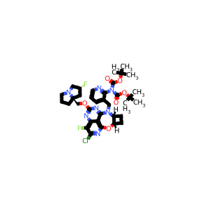 CC(C)(C)OC(=O)N(C(=O)OC(C)(C)C)c1ncccc1CN1c2nc(OC[C@@]34CCCN3C[C@H](F)C4)nc3c(F)c(Cl)nc(c23)O[C@H]2CC[C@H]21